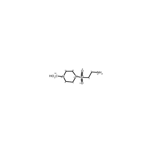 NCCS(=O)(=O)N1CCN(C(=O)O)CC1